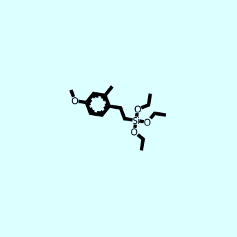 CCO[Si](CCc1ccc(OC)cc1C)(OCC)OCC